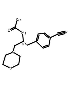 N#Cc1ccc(C[C@H](CN2CCOCC2)NC(=O)O)cc1